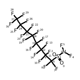 O=S(=O)(N(F)F)C(F)(F)C(F)(F)C(F)(F)C(F)(F)C(F)(F)C(F)(F)C(F)(F)C(F)(F)F